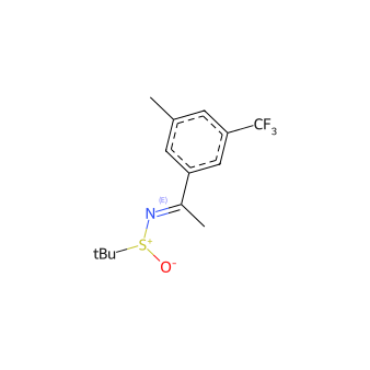 C/C(=N\[S+]([O-])C(C)(C)C)c1cc(C)cc(C(F)(F)F)c1